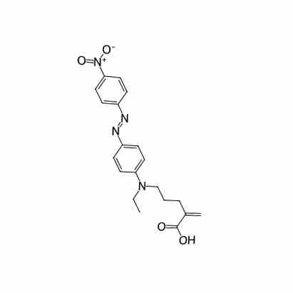 C=C(CCCN(CC)c1ccc(N=Nc2ccc([N+](=O)[O-])cc2)cc1)C(=O)O